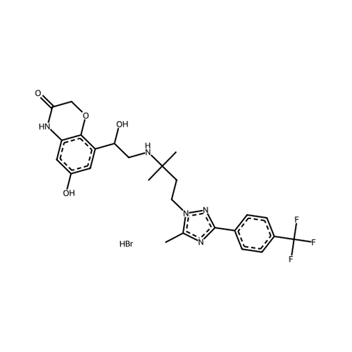 Br.Cc1nc(-c2ccc(C(F)(F)F)cc2)nn1CCC(C)(C)NCC(O)c1cc(O)cc2c1OCC(=O)N2